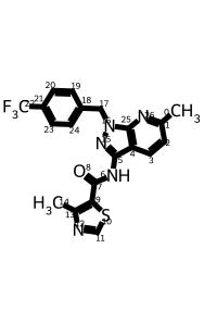 Cc1ccc2c(NC(=O)c3scnc3C)nn(Cc3ccc(C(F)(F)F)cc3)c2n1